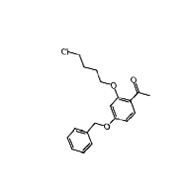 CC(=O)c1ccc(OCc2ccccc2)cc1OCCCCCl